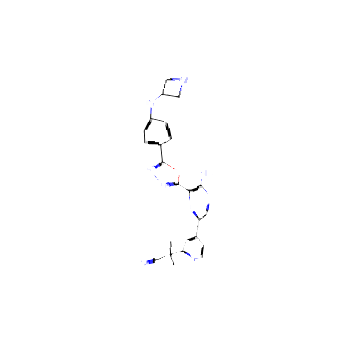 CC(C)(C#N)c1cc(-c2cnc(N)c(-c3nnc(-c4ccc(NC5CNC5)cc4)o3)n2)ccn1